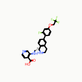 O=C(O)c1ccncc1NC[C@H]1NCCc2cc(-c3ccc(OCC(F)(F)F)cc3F)ccc21